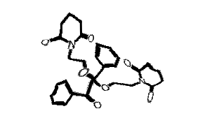 O=C1CCCC(=O)N1CCOC(OCCN1C(=O)CCCC1=O)(C(=O)c1ccccc1)c1ccccc1